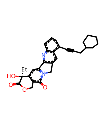 CC[C@@]1(O)C(=O)OCc2c1cc1n(c2=O)Cc2cc3c(C#CCC4CCCCC4)cccc3nc2-1